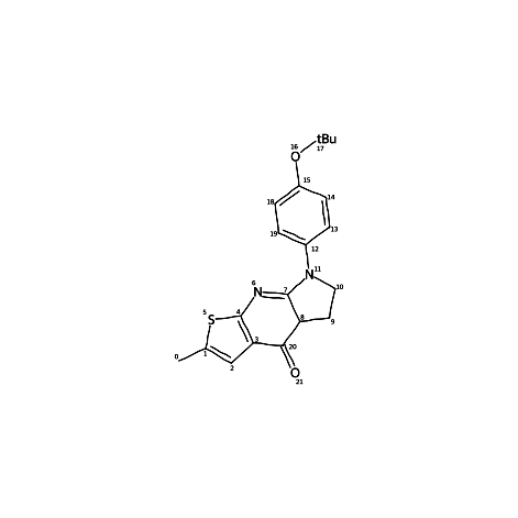 Cc1cc2c(s1)N=C1C(CCN1c1ccc(OC(C)(C)C)cc1)C2=O